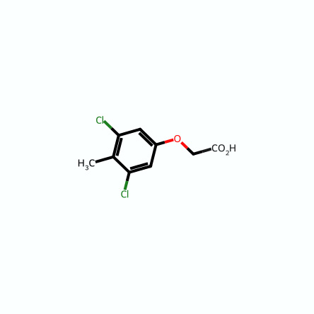 Cc1c(Cl)cc(OCC(=O)O)cc1Cl